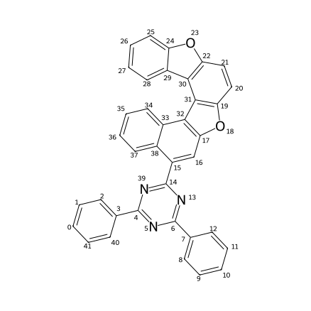 c1ccc(-c2nc(-c3ccccc3)nc(-c3cc4oc5ccc6oc7ccccc7c6c5c4c4ccccc34)n2)cc1